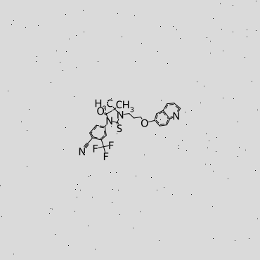 CC1(C)C(=O)N(c2ccc(C#N)c(C(F)(F)F)c2)C(=S)N1CCCOc1ccc2ncccc2c1